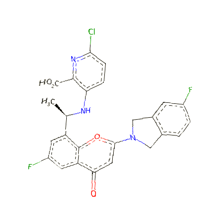 C[C@@H](Nc1ccc(Cl)nc1C(=O)O)c1cc(F)cc2c(=O)cc(N3Cc4ccc(F)cc4C3)oc12